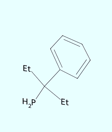 CCC(P)(CC)c1ccccc1